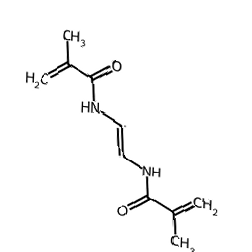 C=C(C)C(=O)N/[C]=C/NC(=O)C(=C)C